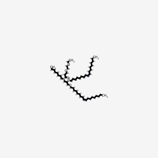 CCCCCCCC/C=C\CCCCCCCCOCC(CN(CCCCCCCC)C(=O)CCOCCOCC)OCCCCCCCC/C=C\CCCCCCCC